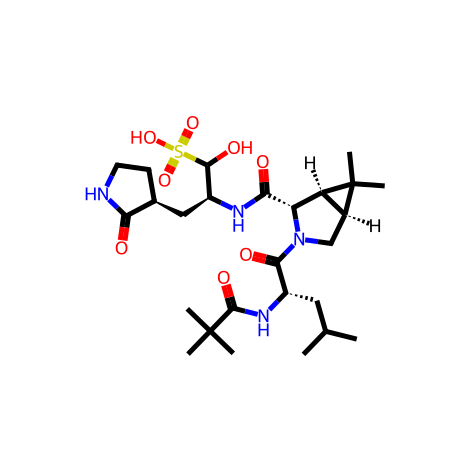 CC(C)C[C@H](NC(=O)C(C)(C)C)C(=O)N1C[C@H]2[C@@H]([C@H]1C(=O)N[C@@H](C[C@@H]1CCNC1=O)C(O)S(=O)(=O)O)C2(C)C